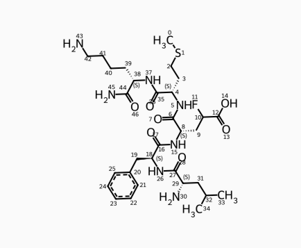 CSCC[C@H](NC(=O)[C@H](CC(F)C(=O)O)NC(=O)[C@H](Cc1ccccc1)NC(=O)[C@@H](N)CC(C)C)C(=O)N[C@@H](CCCCN)C(N)=O